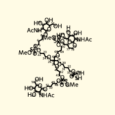 COSP(=O)(OCCCCOC1OC(CO)C(O)C(O)C1NC(C)=O)OCCCOCC(COCCCCOP(=O)(O)S)(COCCCOP(=O)(OCCCCOC1OC(CO)C(O)C(O)C1NC(C)=O)SOC)COCCCOP(=O)(OCCCCOC1OC(CO)C(O)C(O)C1NC(C)=O)SOC